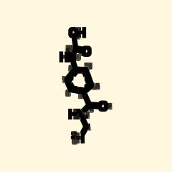 [2H]CNC(=O)c1ccc(NC(=O)O)cc1